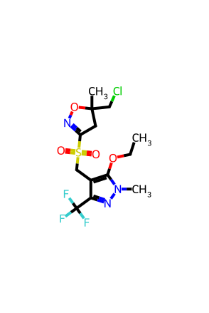 CCOc1c(CS(=O)(=O)C2=NOC(C)(CCl)C2)c(C(F)(F)F)nn1C